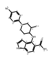 N#Cc1cnc(N2CCC(Nc3c(C(N)=O)cnc4[nH]ccc34)C(F)C2)nc1